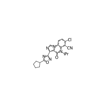 CC(C)n1c(=O)c2c(-c3noc(C4CCCC4)n3)ncn2c2ccc(Cl)c(C#N)c21